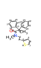 CN(CCc1cccs1)C(=O)C(C)(c1ccccc1)c1ccccc1